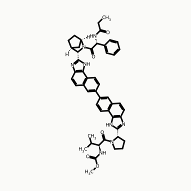 CCC(=O)N[C@@H](C(=O)N1[C@@H]2CC[C@@H](C2)[C@H]1c1nc2ccc3cc(-c4ccc5c(ccc6nc([C@@H]7CCCN7C(=O)[C@@H](NC(=O)OC)C(C)C)[nH]c65)c4)ccc3c2[nH]1)c1ccccc1